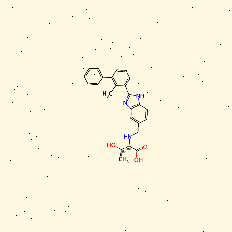 Cc1c(-c2ccccc2)cccc1-c1nc2cc(CN[C@@H](C(=O)O)[C@@H](C)O)ccc2[nH]1